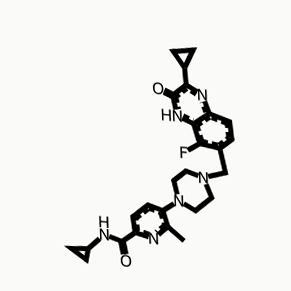 Cc1nc(C(=O)NC2CC2)ccc1N1CCN(Cc2ccc3nc(C4CC4)c(=O)[nH]c3c2F)CC1